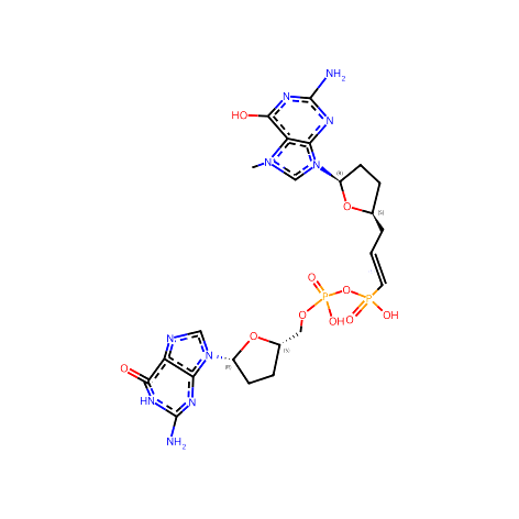 C[n+]1cn([C@H]2CC[C@@H](C/C=C/P(=O)(O)OP(=O)(O)OC[C@@H]3CC[C@H](n4cnc5c(=O)[nH]c(N)nc54)O3)O2)c2nc(N)nc(O)c21